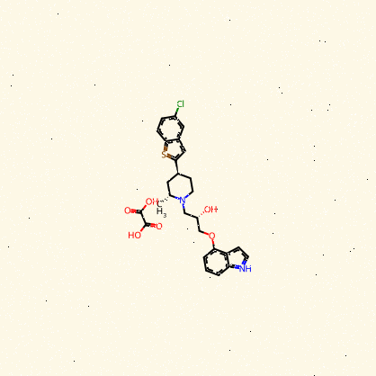 C[C@@H]1C[C@@H](c2cc3cc(Cl)ccc3s2)CCN1C[C@H](O)COc1cccc2[nH]ccc12.O=C(O)C(=O)O